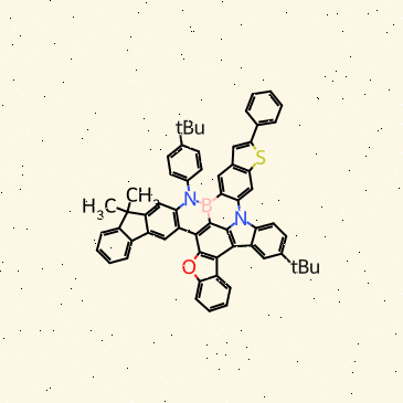 CC(C)(C)c1ccc(N2B3c4cc5cc(-c6ccccc6)sc5cc4-n4c5ccc(C(C)(C)C)cc5c5c6c(oc7ccccc76)c(c3c54)-c3cc4c(cc32)C(C)(C)c2ccccc2-4)cc1